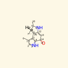 Cc1c[nH]c2c1[C@@]13C[C@@H]1C(C)NC3=CC2=O